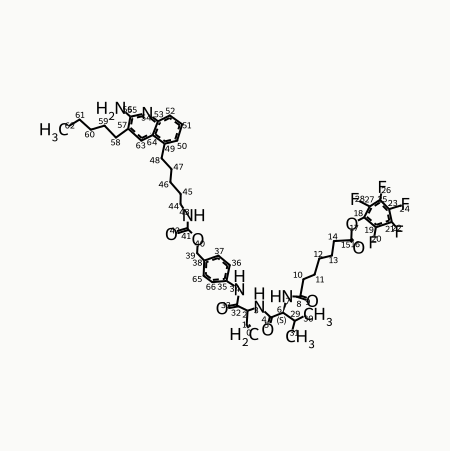 C=CC(NC(=O)[C@@H](NC(=O)CCCCCC(=O)Oc1c(F)c(F)c(F)c(F)c1F)C(C)C)C(=O)Nc1ccc(COC(=O)NCCCCCc2cccc3nc(N)c(CCCCC)cc23)cc1